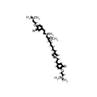 CN/C(=C\N(N)CCc1ccc(OCCN(C)C)c(Br)c1)CCCCCCc1cn(CCc2ccc(OCCN(C)C)c(Br)c2)nn1